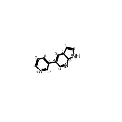 C1=CC2C=C(c3cccnc3)C=NC2N1